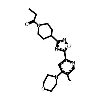 CCC(=O)N1CCC(c2noc(-c3cc(N4CCOCC4)c(F)cn3)n2)CC1